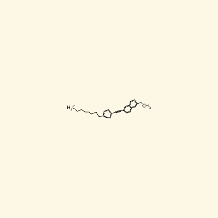 CCCCCCCCc1ccc(C#Cc2ccc3cc(CC)ccc3c2)cc1